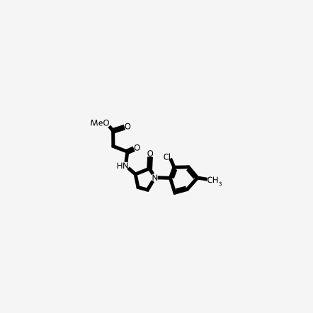 COC(=O)CC(=O)NC1CCN(c2ccc(C)cc2Cl)C1=O